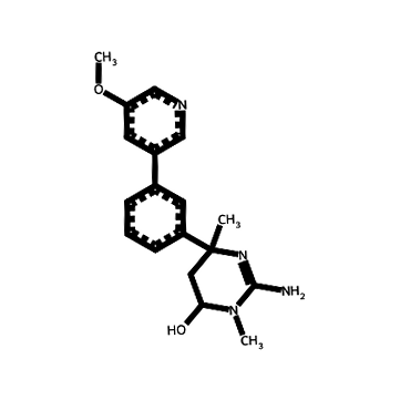 COc1cncc(-c2cccc(C3(C)CC(O)N(C)C(N)=N3)c2)c1